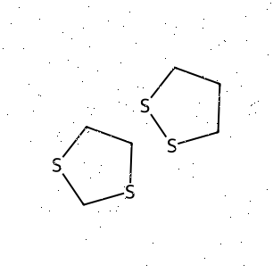 C1CSCS1.C1CSSC1